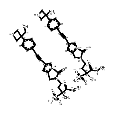 C[C@@](CCN1Cc2cc(C#Cc3ccc(C4(CO)COC4)cc3)cn2C1=O)(C(=O)NO)S(C)(=O)=O.C[C@@](CCN1Cc2cc(C#Cc3ccc(C4(N)COC4)cc3)cn2C1=O)(C(=O)NO)S(C)(=O)=O